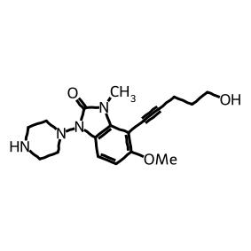 COc1ccc2c(c1C#CCCCO)n(C)c(=O)n2N1CCNCC1